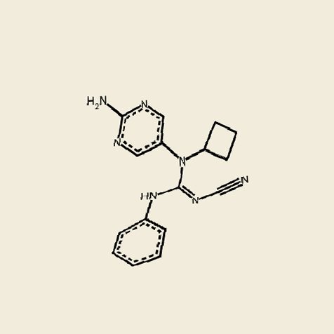 N#CN=C(Nc1ccccc1)N(c1cnc(N)nc1)C1CCC1